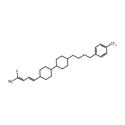 N#CC(F)=CC=CC1CCC(C2CCC(CCCCc3ccc(C(F)(F)F)cc3)CC2)CC1